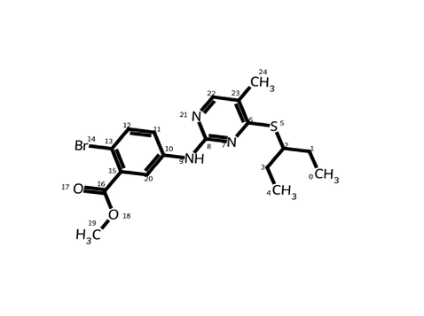 CCC(CC)Sc1nc(Nc2ccc(Br)c(C(=O)OC)c2)ncc1C